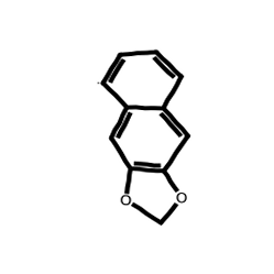 [c]1cccc2cc3c(cc12)OCO3